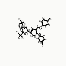 Cc1ccc(OCc2cc(C(CNC(C)(C)C)OC(=O)C(C)(C)C)ccc2Oc2ccc(C)cc2)cc1